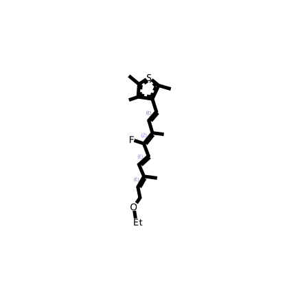 CCOC/C=C(C)/C=C/C(F)=C(C)/C=C/c1c(C)sc(C)c1C